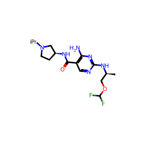 CC(C)N1CC[C@H](NC(=O)c2cnc(N[C@@H](C)COC(F)F)nc2N)C1